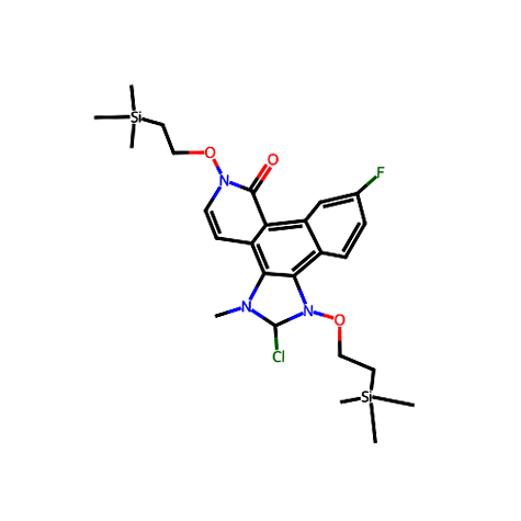 CN1c2c(c3ccc(F)cc3c3c(=O)n(OCC[Si](C)(C)C)ccc23)N(OCC[Si](C)(C)C)C1Cl